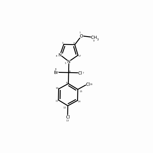 COc1cnn(C(Cl)(Br)c2ccc(Cl)cc2Cl)c1